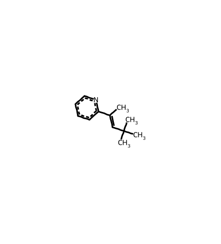 C/C(=C\C(C)(C)C)c1ccccn1